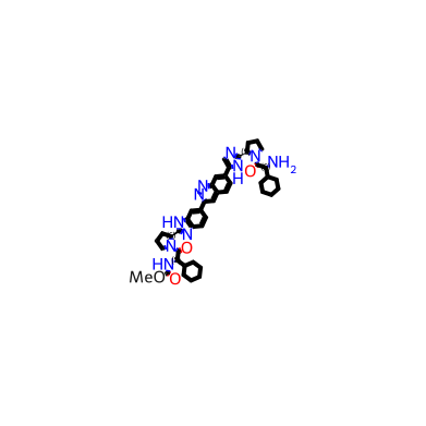 COC(=O)N[C@H](C(=O)N1CCC[C@H]1c1nc2ccc(-c3cc4ccc(-c5cnc([C@@H]6CCCN6C(=O)[C@@H](N)C6CCCCC6)[nH]5)cc4nn3)cc2[nH]1)C1CCCCC1